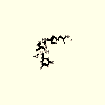 NC(=O)Cn1cc(Nc2ncc(F)c(N[C@H](CO)c3cc(F)cc(F)c3)n2)cn1